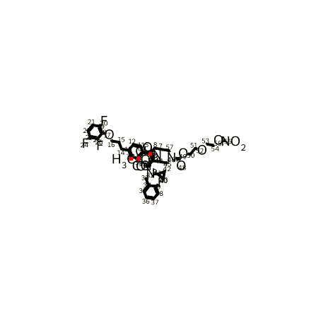 CC(C)(OC(=O)N1C2CC(c3ccc(CCCOc4c(F)ccc(F)c4F)cc3)=C(C(=O)N(Cc3ccccc3F)C3CC3)C1CN(C(=O)OCCOCCO[N+](=O)[O-])C2)C(Cl)(Cl)Cl